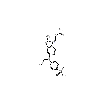 CCN(c1ccc(S(C)(=O)=O)cc1)c1ccc2c(c1)OC(C)/C2=N\OC(C)=O